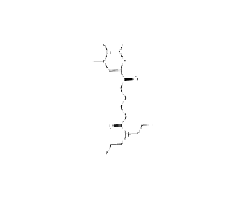 CCCN(CCC)C(=O)CCCCC(=O)N(CCC)CC(C)OC